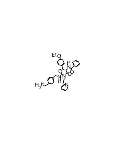 CCOc1ccc(C[C@@H](NC(=O)c2ccccc2)C(=O)N(CCc2ccccn2)C(=O)NCc2ccc(CN)cc2)cc1